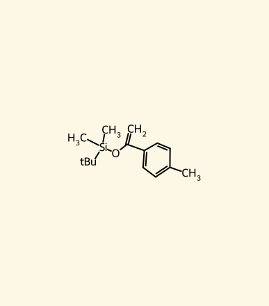 C=C(O[Si](C)(C)C(C)(C)C)c1ccc(C)cc1